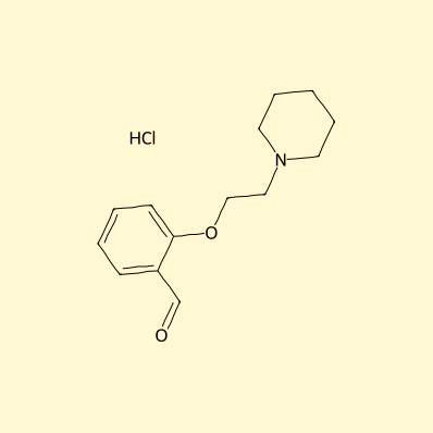 Cl.O=Cc1ccccc1OCCN1CCCCC1